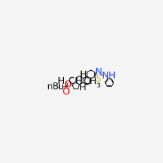 CCCCC(=O)O[C@H]1CC[C@H]2[C@@H]3CC=C4c5sc(Nc6ccccc6)nc5CC[C@]4(C)[C@H]3CC[C@]12C